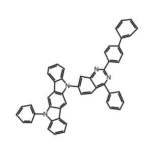 c1ccc(-c2ccc(-c3nc(-c4ccccc4)c4ccc(-n5c6ccccc6c6cc7c(cc65)c5ccccc5n7-c5ccccc5)cc4n3)cc2)cc1